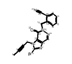 CC#CCn1c(Br)nc2cnn(Cc3ccccc3C#N)c(=O)c21